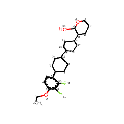 CCOc1ccc(C2CCC(C3CCC(C4CCCOC4O)CC3)CC2)c(F)c1F